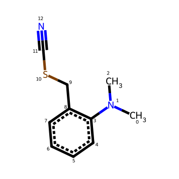 CN(C)c1ccccc1CSC#N